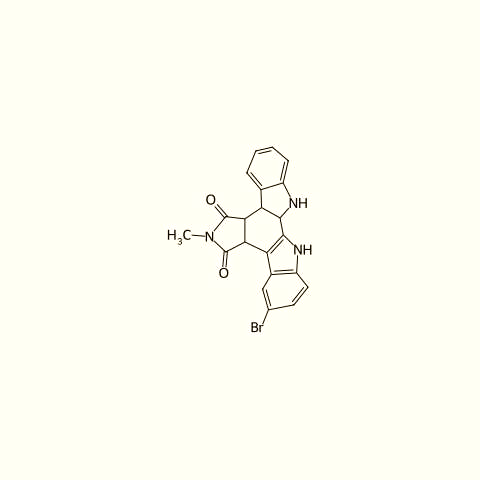 CN1C(=O)C2c3c([nH]c4ccc(Br)cc34)C3Nc4ccccc4C3C2C1=O